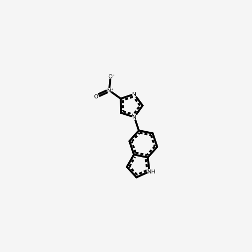 O=[N+]([O-])c1cn(-c2ccc3[nH]ccc3c2)cn1